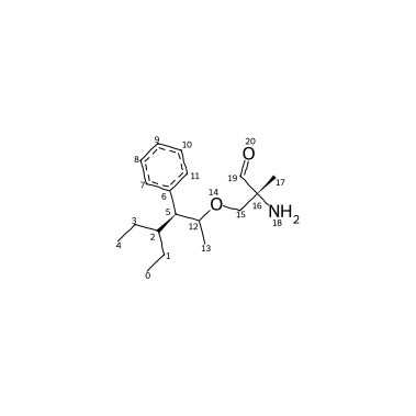 CCC(CC)[C@@H](c1ccccc1)C(C)OC[C@@](C)(N)C=O